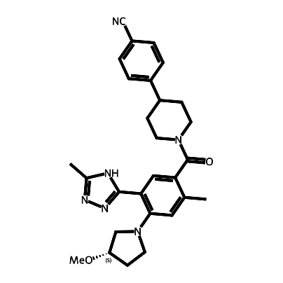 CO[C@H]1CCN(c2cc(C)c(C(=O)N3CCC(c4ccc(C#N)cc4)CC3)cc2-c2nnc(C)[nH]2)C1